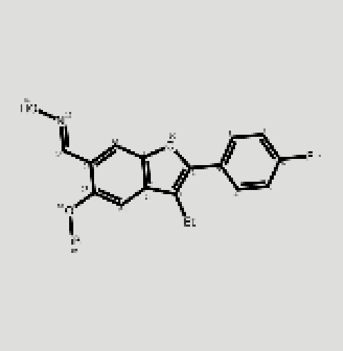 [CH2]Cc1c(-c2ccc(F)cc2)oc2cc(C=NO)c(OC(C)C)cc12